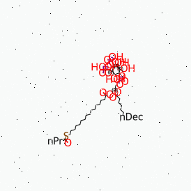 CCCCCCCCCCCCCCCC(=O)O[C@H](COC(=O)CCCCCCCCCCCCCCCSC(=O)CCC)COP(=O)(O)OC1C(O)[C@@H](OP(=O)(O)O)C(OP(=O)(O)O)[C@@H](O)[C@H]1O